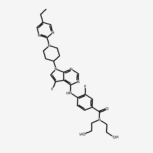 CCc1cnc(N2CCC(n3cc(F)c4c(Nc5ccc(C(=O)N(CCO)CCO)cc5F)ncnc43)CC2)nc1